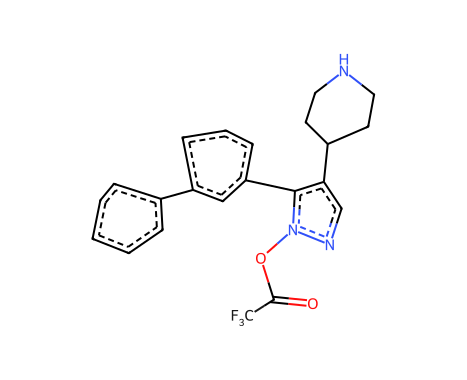 O=C(On1ncc(C2CCNCC2)c1-c1cccc(-c2ccccc2)c1)C(F)(F)F